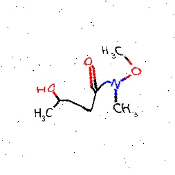 CON(C)C(=O)CC(C)O